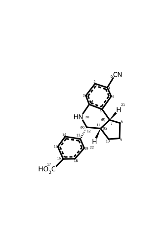 N#Cc1ccc2c(c1)[C@@H]1CCC[C@@H]1[C@H](c1ccc(C(=O)O)cc1)N2